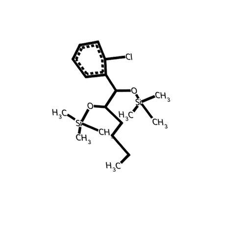 CCCCC(O[Si](C)(C)C)C(O[Si](C)(C)C)c1ccccc1Cl